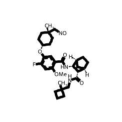 COc1cc(F)c(O[C@H]2CC[C@@](C)(CN=O)CC2)cc1C(=O)N[C@@H]1[C@H]2CC[C@H](C2)[C@@H]1C(=O)NCC1(C)CCC1